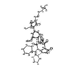 CCn1ncc(C(C(=O)Nc2ncc(-c3c(C)nn(COCC[Si](C)(C)C)c3C)cc2OC)C(C2CCCCC2)C2CCCCC2)c1C(N)=O